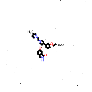 COCCOc1cccc(C2CCN(CCn3ccc(C)c3)C[C@H]2COc2ccc3c(c2)C(=O)NC3)c1